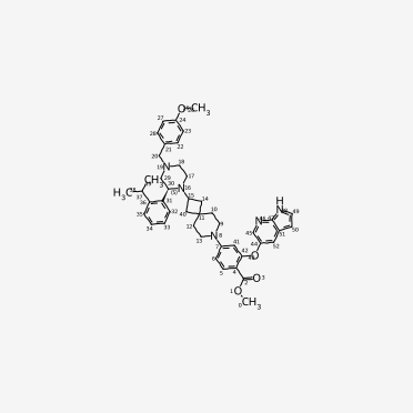 COC(=O)c1ccc(N2CCC3(CC2)CC(N2CCN(Cc4ccc(OC)cc4)C[C@@H]2c2ccccc2C(C)C)C3)cc1Oc1cnc2[nH]ccc2c1